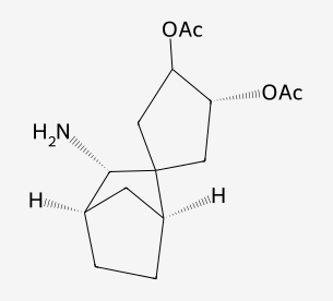 CC(=O)OC1CC2(C[C@H]1OC(C)=O)[C@H]1CC[C@H](C1)[C@@H]2N